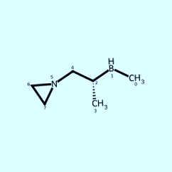 CB[C@H](C)CN1CC1